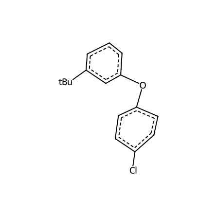 CC(C)(C)c1cccc(Oc2ccc(Cl)cc2)c1